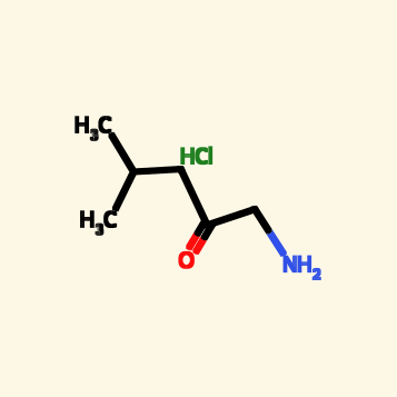 CC(C)CC(=O)CN.Cl